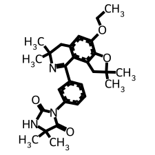 CCOc1cc2c(c3c1OC(C)(C)C3)C(c1cccc(N3C(=O)NC(C)(C)C3=O)c1)=NC(C)(C)C2